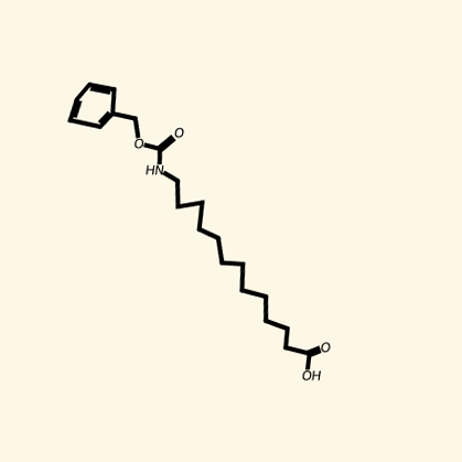 O=C(O)CCCCCCCCCCCCNC(=O)OCc1ccccc1